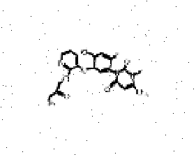 CC(C)CC(=O)COc1ncccc1OC1C=C(n2c(=O)cc(C(F)(F)F)n(C)c2=O)C(F)=CC1Cl